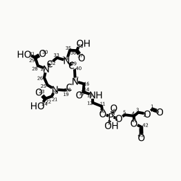 O=COCC(COP(=O)(O)OCCNC(=O)CN1CCN(CC(=O)O)CCN(CC(=O)O)CCN(CC(=O)O)CC1)OC=O